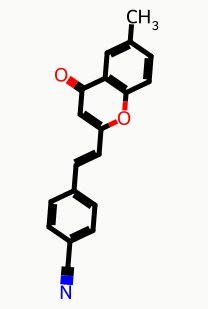 Cc1ccc2oc(C=Cc3ccc(C#N)cc3)cc(=O)c2c1